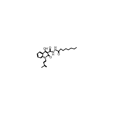 C=C(C)C=Cn1c(=O)c(C(=O)NNC(=O)CCCCCCC)c(O)c2ccccc21